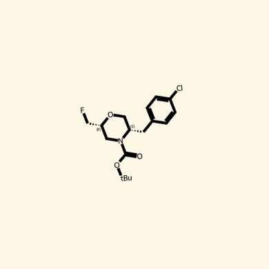 CC(C)(C)OC(=O)N1C[C@H](CF)OC[C@@H]1Cc1ccc(Cl)cc1